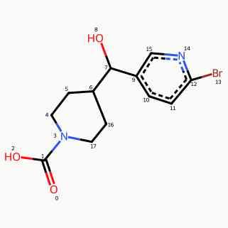 O=C(O)N1CCC(C(O)c2ccc(Br)nc2)CC1